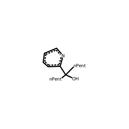 CCCCCC(O)(CCCCC)c1ccccn1